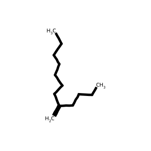 C=C(CCCC)CCCCCCC